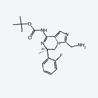 CC(C)(C)OC(=O)NC1=N[C@](C)(c2ccccc2F)Cn2c1cnc2CN